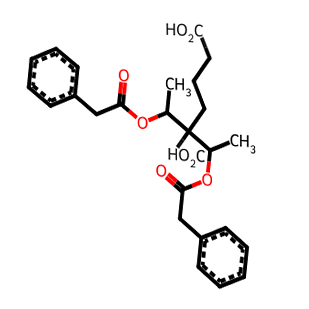 CC(OC(=O)Cc1ccccc1)C(CCCC(=O)O)(C(=O)O)C(C)OC(=O)Cc1ccccc1